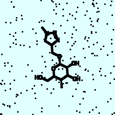 C[C@H]1C(CO)O[C@@H](OCC2CN(C)N=N2)[C@@H](O)C1O